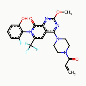 C=CC(=O)N1CCN(c2nc(OC)nc3c(=O)n(-c4c(O)cccc4F)c(C(F)(F)F)cc23)CC1